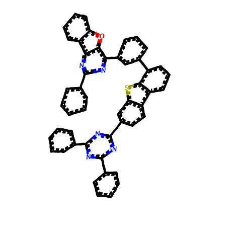 c1ccc(-c2nc(-c3ccccc3)nc(-c3ccc4c(c3)sc3c(-c5cccc(-c6nc(-c7ccccc7)nc7c6oc6ccccc67)c5)cccc34)n2)cc1